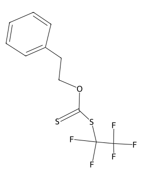 FC(F)(F)C(F)(F)SC(=S)OCCc1ccccc1